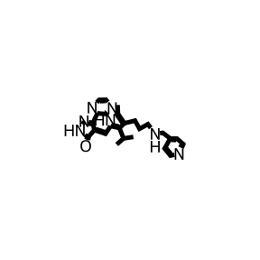 Cc1[nH]c(/C=C2/C(=O)NN=C2c2cnccn2)c(C(C)C)c1CCCNCc1ccncc1